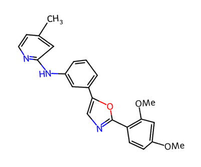 COc1ccc(-c2ncc(-c3cccc(Nc4cc(C)ccn4)c3)o2)c(OC)c1